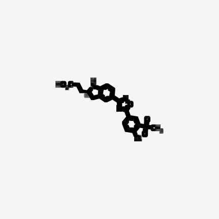 CCc1ccc(-c2nc(-c3ccc4c(c3)C[C@@H](CCC(=O)O)N4)no2)cc1S(C)(=O)=O